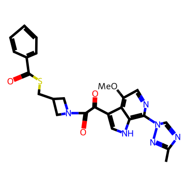 COc1cnc(-n2cnc(C)n2)c2[nH]cc(C(=O)C(=O)N3CC(CSC(=O)c4ccccc4)C3)c12